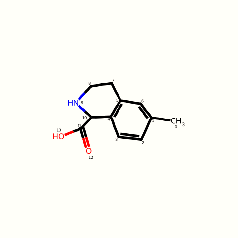 Cc1ccc2c(c1)CCNC2C(=O)O